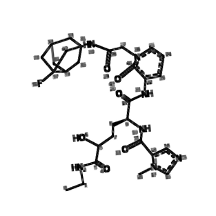 CCNC(=O)C(O)CC[C@H](NC(=O)c1cncn1C)C(=O)Nc1cccn(CC(=O)NC23CC4CC(C2)C(F)(C4)C3)c1=O